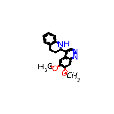 COc1cc2nncc(C3CCc4ccccc4N3)c2cc1OC